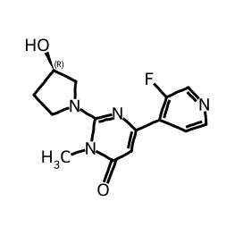 Cn1c(N2CC[C@@H](O)C2)nc(-c2ccncc2F)cc1=O